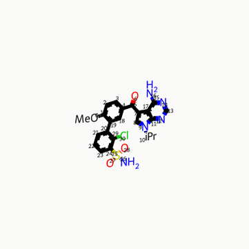 COc1ccc(C(=O)c2cn(C(C)C)c3ncnc(N)c23)cc1-c1cccc(S(N)(=O)=O)c1Cl